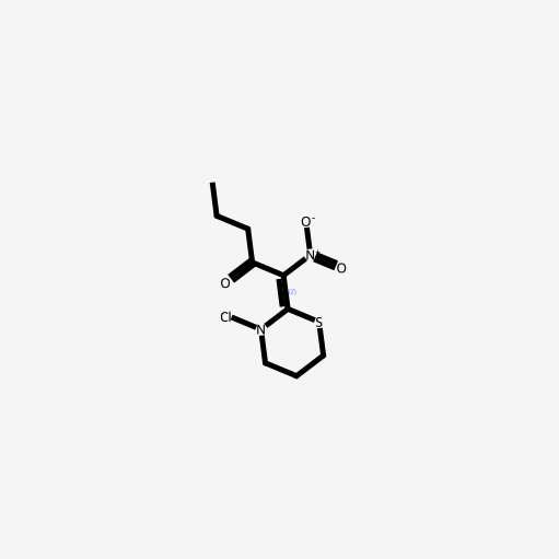 CCCC(=O)/C(=C1/SCCCN1Cl)[N+](=O)[O-]